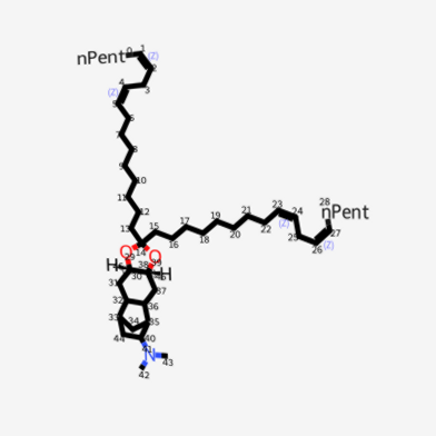 CCCCC/C=C\C/C=C\CCCCCCCCC1(CCCCCCCC/C=C\C/C=C\CCCCC)O[C@H]2CC3C4CC(C3C[C@H]2O1)C(N(C)C)C4